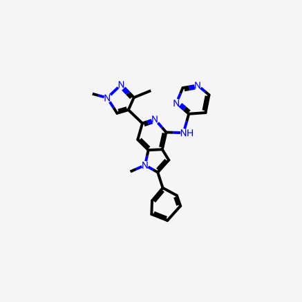 Cc1nn(C)cc1-c1cc2c(cc(-c3ccccc3)n2C)c(Nc2ccncn2)n1